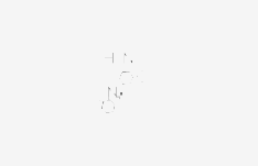 Cc1cc(C(=O)N2CCCSc3ccccc32)ccc1CN